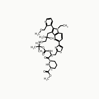 CCn1c(-c2cccnc2COC)c(CC(C)(C)CO)c2cc(-c3csc(C[C@H](NC(=O)OC(C)(C)C)C(=O)N4CCC[C@@H](C(=O)OC)N4)n3)ccc21